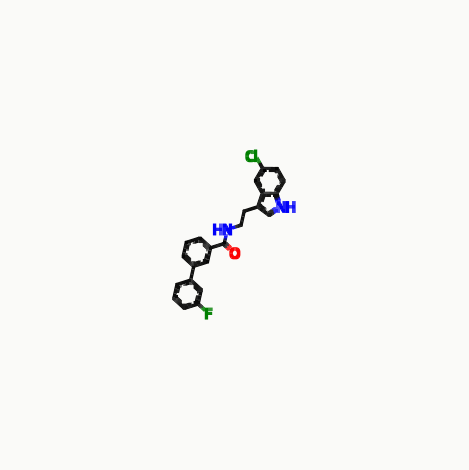 O=C(NCCc1c[nH]c2ccc(Cl)cc12)c1cccc(-c2cccc(F)c2)c1